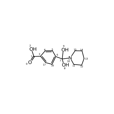 O=C(O)c1ccc(C(O)(O)N2CCCCC2)cc1